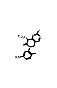 CCOC(=O)C1C(=O)N(c2cc([N+](=O)[O-])ccc2C)Cc2cnc(Cl)nc21